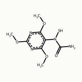 COc1nc(OC)c(N(S)C(N)=O)c(OC)n1